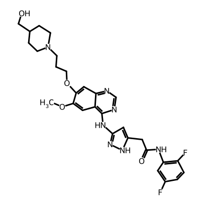 COc1cc2c(Nc3cc(CC(=O)Nc4cc(F)ccc4F)[nH]n3)ncnc2cc1OCCCN1CCC(CO)CC1